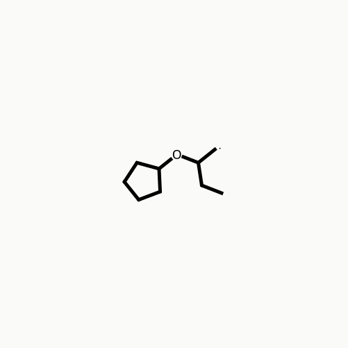 [CH2]C(CC)OC1CCCC1